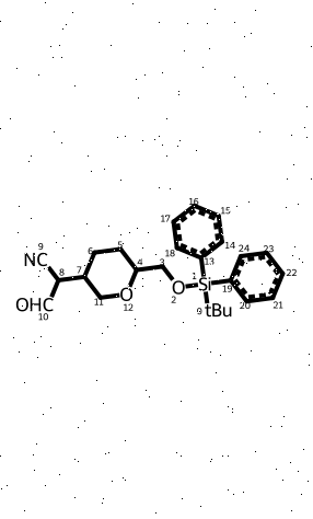 CC(C)(C)[Si](OCC1CCC(C(C#N)C=O)CO1)(c1ccccc1)c1ccccc1